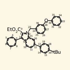 CCOC(=O)c1c(-c2ccccc2)c2ccc(-c3ccc(C(C)(C)C)cc3)cc2n1Cc1cccc(Oc2ccccc2)c1